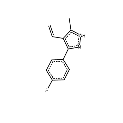 C=Cc1c(-c2ccc(F)cc2)n[nH]c1C